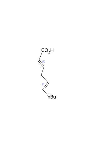 CCCC/C=C/C/C=C/C(=O)O